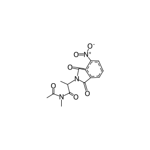 CC(=O)N(C)C(=O)C(C)N1C(=O)c2cccc([N+](=O)[O-])c2C1=O